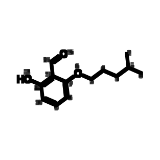 CC(C)CCCOc1cccc(O)c1C=O